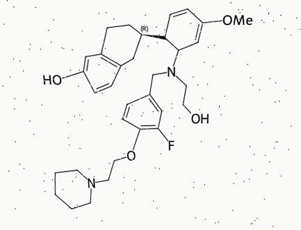 COC1=CC(N(CCO)Cc2ccc(OCCN3CCCCC3)c(F)c2)C([C@@H]2CCc3cc(O)ccc3C2)C=C1